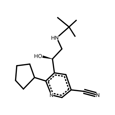 CC(C)(C)NC[C@H](O)c1cc(C#N)cnc1C1CCCC1